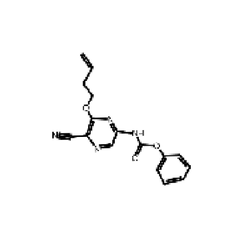 C=CCCOc1nc(NC(=O)Oc2ccccc2)cnc1C#N